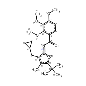 COc1ccc(C(=O)/N=c2\sc(C(C)(C)C)c(C)n2CC2CC2)c(OC)c1OC